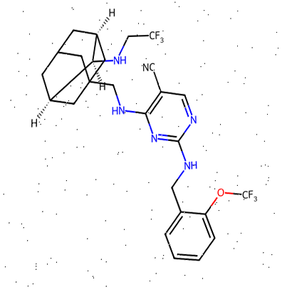 N#Cc1cnc(NCc2ccccc2OC(F)(F)F)nc1NCC12CC3C[C@H](C1)[C@H](NCC(F)(F)F)[C@@H](C3)C2